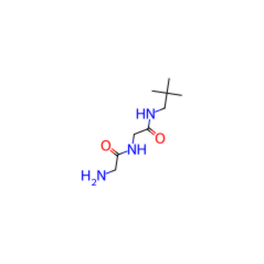 CC(C)(C)CNC(=O)CNC(=O)CN